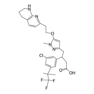 Cn1nc(CC(CC(=O)O)c2cc(Cl)cc(C(C)(C)C(F)(F)F)c2)cc1OCCc1ccc2c(n1)NCCC2